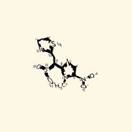 Cn1c([N+](=O)[O-])cnc1C(c1nccs1)=S(=O)=O